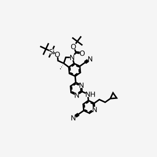 CC(C)(C)OC(=O)N1C[C@](C)(CO[Si](C)(C)C(C)(C)C)c2cc(-c3ccnc(Nc4cc(C#N)cnc4CCC4CC4)n3)cc(C#N)c21